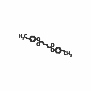 CCc1ccc(OC(=O)CCCCC(=O)Oc2ccc(CC)cc2)cc1